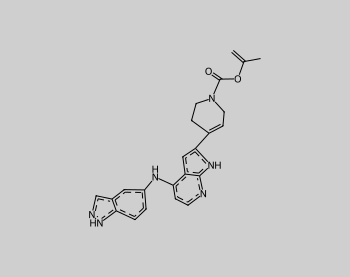 C=C(C)OC(=O)N1CC=C(c2cc3c(Nc4ccc5[nH]ncc5c4)ccnc3[nH]2)CC1